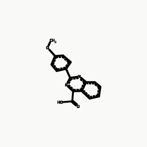 COc1ccc(-c2nc(C(=O)O)c3ccccc3n2)cc1